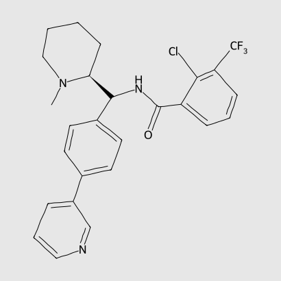 CN1CCCC[C@H]1C(NC(=O)c1cccc(C(F)(F)F)c1Cl)c1ccc(-c2cccnc2)cc1